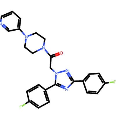 O=C(Cn1nc(-c2ccc(F)cc2)nc1-c1ccc(F)cc1)N1CCN(c2cccnc2)CC1